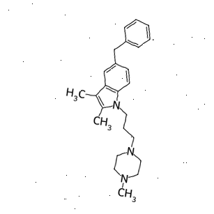 Cc1c(C)n(CCCN2CCN(C)CC2)c2ccc(Cc3c[c]ccc3)cc12